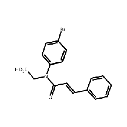 O=C(O)CN(C(=O)C=Cc1ccccc1)c1ccc(Br)cc1